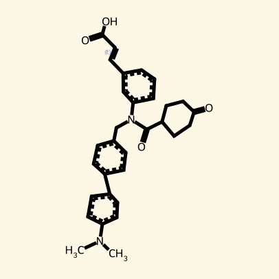 CN(C)c1ccc(-c2ccc(CN(C(=O)C3CCC(=O)CC3)c3cccc(/C=C/C(=O)O)c3)cc2)cc1